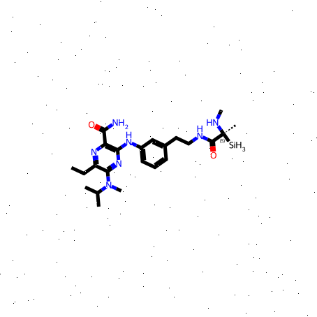 CCc1nc(C(N)=O)c(Nc2cccc(CCNC(=O)[C@](C)([SiH3])NC)c2)nc1N(C)C(C)C